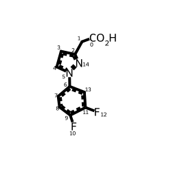 O=C(O)Cc1ccn(-c2ccc(F)c(F)c2)n1